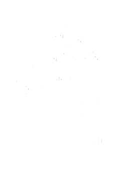 CCCC[S+]([O-])CSc1nc(-c2cccnc2)nc(-c2nccn2C)c1C#N